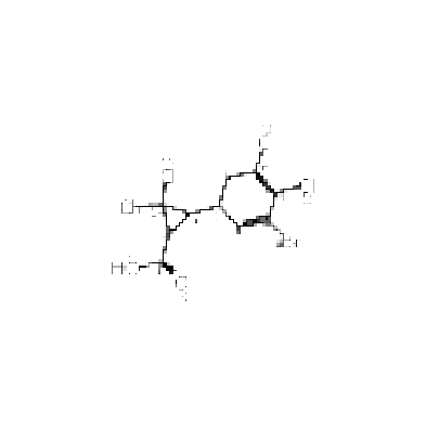 O=C(O)C1C(C2C=C(Br)C(Cl)=C(Cl)C2)C1(Cl)Cl